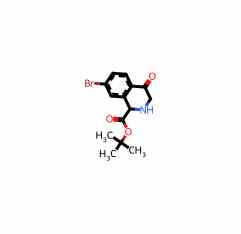 CC(C)(C)OC(=O)C1NCC(=O)c2ccc(Br)cc21